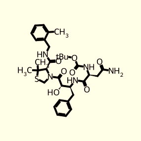 Cc1ccccc1CNC(=O)[C@H]1N(C(=O)[C@@H](O)[C@H](Cc2ccccc2)NC(=O)[C@H](CC(N)=O)NC(=O)OC(C)(C)C)CSC1(C)C